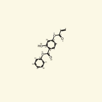 C=CC(=O)Oc1ccc(C(=O)Oc2ccccc2)c(O)c1